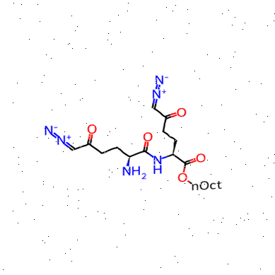 CCCCCCCCOC(=O)[C@H](CCC(=O)C=[N+]=[N-])NC(=O)[C@@H](N)CCC(=O)C=[N+]=[N-]